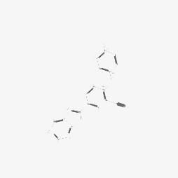 N#Cc1cc(-c2nc3cncnc3s2)ccc1Oc1ccc(F)cc1